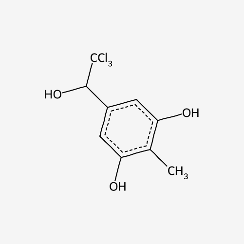 Cc1c(O)cc(C(O)C(Cl)(Cl)Cl)cc1O